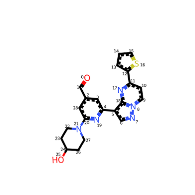 O=Cc1cc(-c2cnn3ccc(-c4cccs4)nc23)nc(N2CCC(O)CC2)c1